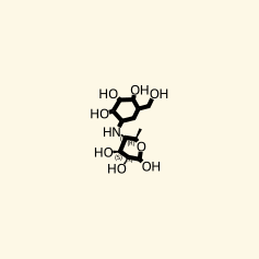 C[C@H]1OC(O)[C@H](O)[C@@H](O)[C@@H]1NC1CC(CO)C(O)C(O)C1O